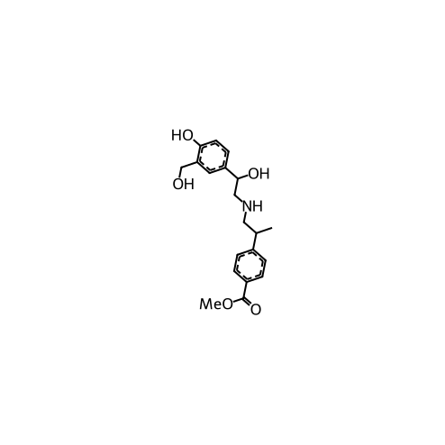 COC(=O)c1ccc(C(C)CNCC(O)c2ccc(O)c(CO)c2)cc1